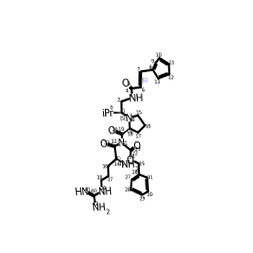 CC(C)[C@@H](CNC(=O)/C=C/c1ccccc1)N1CCC[C@H]1C(=O)N(C(=O)OCc1ccccc1)C(=O)[C@@H](N)CCCNC(=N)N